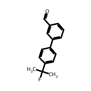 CC(C)(F)c1ccc(-c2cccc(C=O)c2)cc1